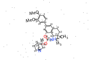 COc1ccc(-c2ccc3c(c2)CCC(C)(C)C3NC(=O)O[C@H]2CN3CCC2CC3)cc1OC